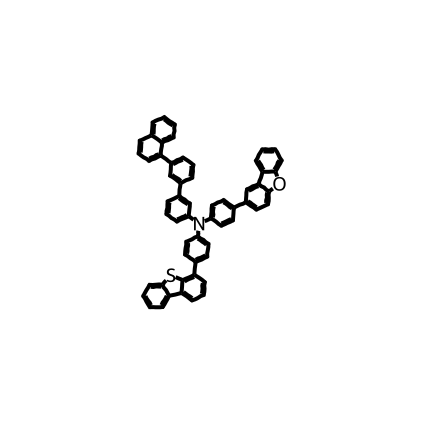 c1cc(-c2cccc(N(c3ccc(-c4ccc5oc6ccccc6c5c4)cc3)c3ccc(-c4cccc5c4sc4ccccc45)cc3)c2)cc(-c2cccc3ccccc23)c1